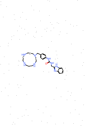 O=C(NCc1nc2ccccc2[nH]1)Nc1ccc(CN2CCCNCCNCCCNCC2)cc1